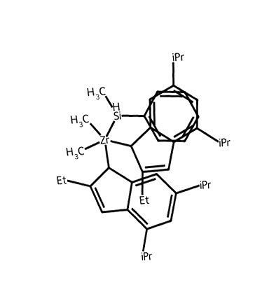 CCC1=Cc2c(C(C)C)cc(C(C)C)cc2[CH]1[Zr]([CH3])([CH3])([CH]1C(CC)=Cc2c(C(C)C)cc(C(C)C)cc21)[SiH](C)c1ccccc1